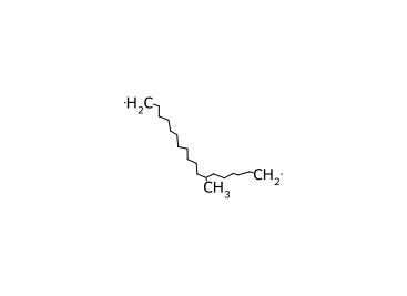 [CH2]CCCCCCCCCCC(C)CCCCC[CH2]